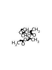 C=CC(=O)OCC(C)OC(=O)C=C.[CH2][CH]C.[CH2][CH]C